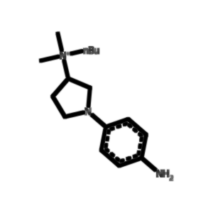 CCCC[N+](C)(C)C1CCN(c2ccc(N)cc2)C1